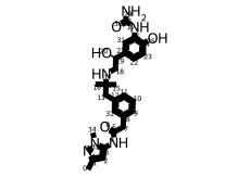 Cc1cc(NC(=O)Cc2cccc(CC(C)(C)NC[C@H](O)c3ccc(O)c(NC(N)=O)c3)c2)n(C)n1